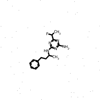 CC(CCc1ccccc1)Nc1nc(N)nc(C(C)F)n1